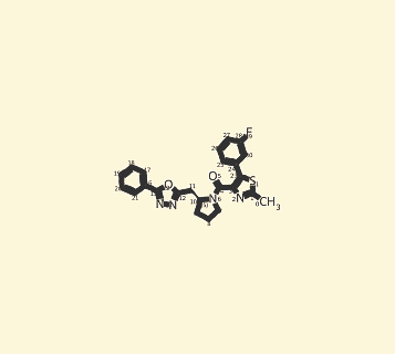 Cc1nc(C(=O)N2CCC[C@H]2Cc2nnc(-c3ccccc3)o2)c(-c2cccc(F)c2)s1